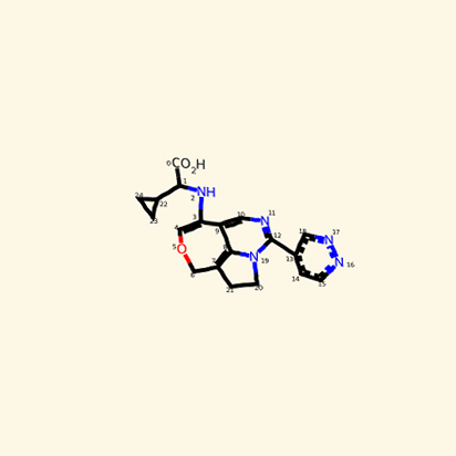 O=C(O)C(NC1=COCC2=C3C1=CN=C(c1ccnnc1)N3CC2)C1CC1